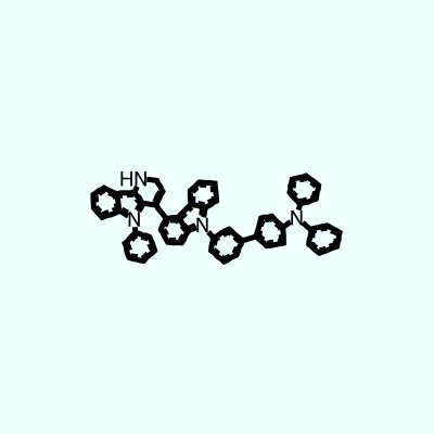 C1=C(c2cccc3c2c2ccccc2n3-c2cccc(-c3ccc(N(c4ccccc4)c4ccccc4)cc3)c2)c2c(c3ccccc3n2-c2ccccc2)NC1